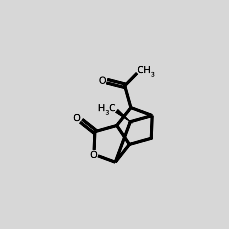 CC(=O)C1C2C(=O)OC3C2CC1[C@@H]3C